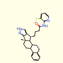 C[C@]12CCC3c4ccccc4CCC3C1[C@H](CCCC(=O)Nc1ncccc1F)c1c[nH]nc12